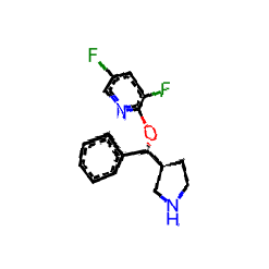 Fc1cnc(O[C@@H](c2ccccc2)[C@H]2CCNC2)c(F)c1